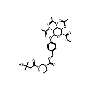 CCN(CN(C)C(=O)CC(C)(C)S)C(=O)OCc1ccc(O[C@@H]2O[C@H](C(=O)OC)[C@@H](OC(C)=O)[C@H](OC(C)=O)[C@H]2OC(C)=O)cc1